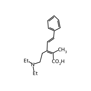 CCN(CC)CCC(C=Cc1ccccc1)=C(C)C(=O)O